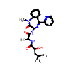 CC(C)CC(O)C(=O)N[C@@H](C)C(=O)NC1N=C(c2ccccn2)c2ccccc2N(C)C1=O